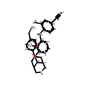 CCc1cnc(N2CC3COCC(C2)C3Oc2ncnc(Nc3ccc(C#N)cc3Cl)c2C)nc1